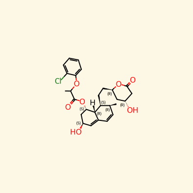 CC(Oc1ccccc1Cl)C(=O)O[C@H]1C[C@H](O)C=C2C=C[C@H](C)[C@H](CC[C@@H]3C[C@@H](O)CC(=O)O3)[C@H]21